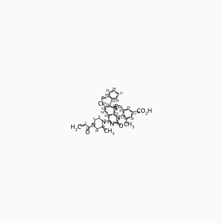 C=CC(=O)N1CCN(c2nc(=O)n(-c3c(C)cc(C(=O)O)cc3C(C)C)c3nc(-c4ccccc4F)c(Cl)cc23)[C@@H](C)C1